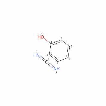 N=C=N.Oc1ccccc1